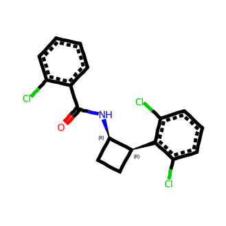 O=C(N[C@@H]1CC[C@@H]1c1c(Cl)cccc1Cl)c1ccccc1Cl